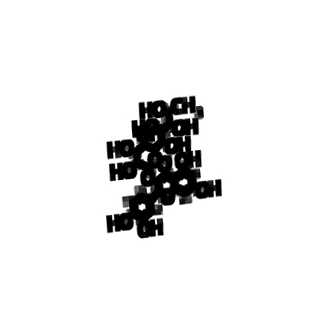 C[C@@H](O)[C@@H](O)[C@H](O)[C@@H](O)[C@H]1OC(Oc2c(-c3ccc(O)c(O)c3)oc3cc(O)cc(O)c3c2=O)[C@H](O)[C@@H](O)[C@H]1O